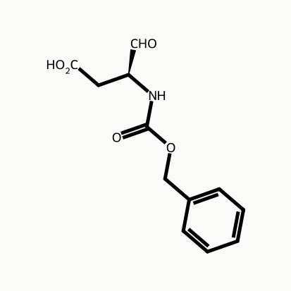 O=C[C@H](CC(=O)O)NC(=O)OCc1ccccc1